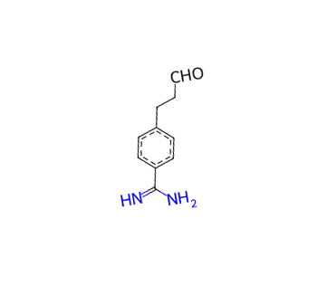 N=C(N)c1ccc(CCC=O)cc1